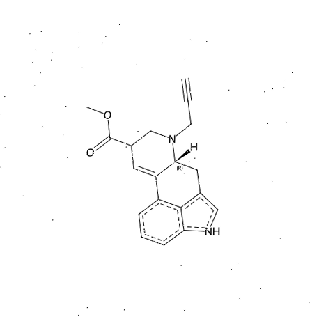 C#CCN1CC(C(=O)OC)C=C2c3cccc4[nH]cc(c34)C[C@H]21